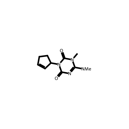 CNc1nc(=O)n(C2C=CCC2)c(=O)n1C